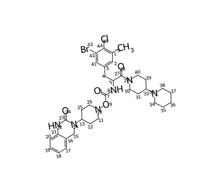 Cc1cc(CC(NC(=O)ON2CCC(N3Cc4ccccc4NC3=O)CC2)C(=O)N2CCC(N3CCCCC3)CC2)cc(Br)c1Cl